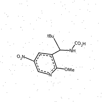 COc1ncc([N+](=O)[O-])cc1C(NC(=O)O)C(C)(C)C